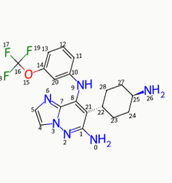 Nc1nn2ccnc2c(Nc2cccc(OC(F)(F)F)c2)c1[C@H]1CC[C@H](N)CC1